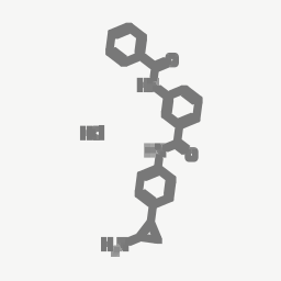 Cl.NC1CC1c1ccc(NC(=O)c2cccc(NC(=O)c3ccccc3)c2)cc1